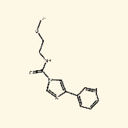 CC(C)OCCNC(=O)n1cnc(-c2cccnc2)c1